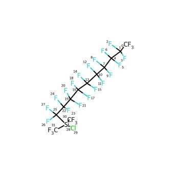 FC(F)(F)C(F)(F)C(F)(F)C(F)(F)C(F)(F)C(F)(F)C(F)(F)C(F)(F)C(F)(F)C(F)(F)[Si](Cl)(C(F)(F)F)C(F)(F)F